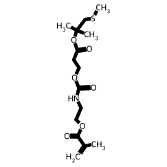 C=C(C)C(=O)OCCNC(=O)OCCC(=O)OC(C)(C)CSC